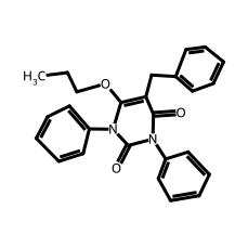 CCCOc1c(Cc2ccccc2)c(=O)n(-c2ccccc2)c(=O)n1-c1ccccc1